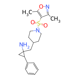 Cc1noc(C)c1S(=O)(=O)N1CCC(CC2(N)CC2c2ccccc2)CC1